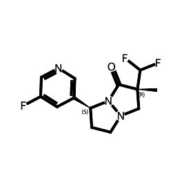 C[C@@]1(C(F)F)CN2CC[C@@H](c3cncc(F)c3)N2C1=O